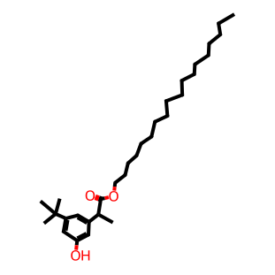 CCCCCCCCCCCCCCCCCCOC(=O)C(C)c1cc(O)cc(C(C)(C)C)c1